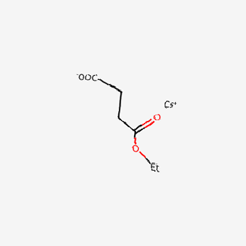 CCOC(=O)CCC(=O)[O-].[Cs+]